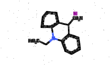 CCOC(=O)CN1c2ccccc2C(C(=O)O)c2ccccc21.I